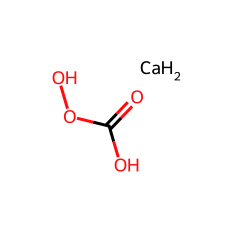 O=C(O)OO.[CaH2]